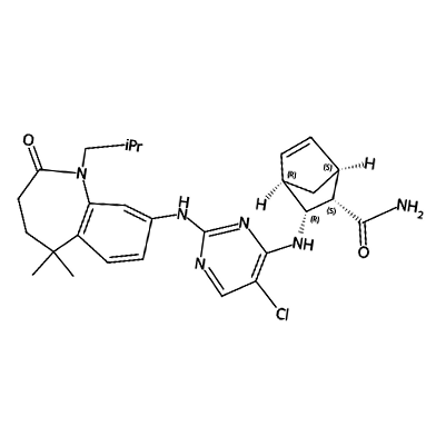 CC(C)CN1C(=O)CCC(C)(C)c2ccc(Nc3ncc(Cl)c(N[C@H]4[C@@H](C(N)=O)[C@@H]5C=C[C@H]4C5)n3)cc21